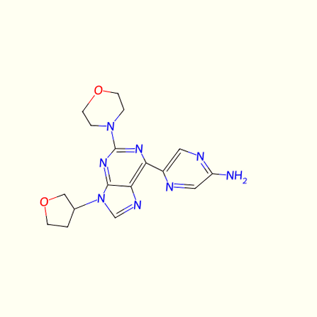 Nc1cnc(-c2nc(N3CCOCC3)nc3c2ncn3C2CCOC2)cn1